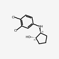 O[C@H]1CCC[C@@H]1Nc1ccc(Cl)c(Cl)c1